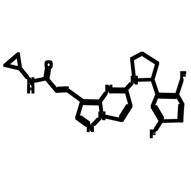 O=C(C=Cc1cnn2ccc(N3CCCC3c3cc(F)ccc3F)nc12)NC1CC1